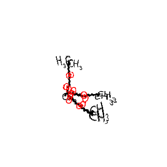 CCC(COC(=O)CCCCCOC(=O)CCCCCC(C)C)(COC(=O)CCCCCOC(=O)CCCCCC(C)C)COC(=O)CCCCCOC(=O)CCCCCC(C)C